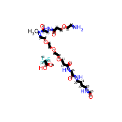 CN(CCOCCOCCOCCC(=O)NCC(=O)NCCCCNC=O)C(=O)CNC(=O)CCOCCN.O=C(O)C(F)(F)F